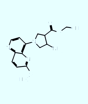 CCOC(=O)C1CN(c2ccnc3ccc(OC)nc23)CC1N